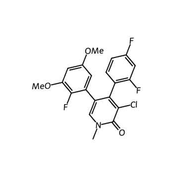 COc1cc(OC)c(F)c(-c2cn(C)c(=O)c(Cl)c2-c2ccc(F)cc2F)c1